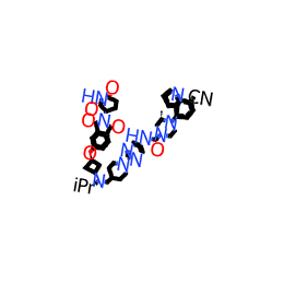 CC(C)N(CC1CCN(c2ncc(NC(=O)N3CCN(c4ccc(C#N)c5ncccc45)[C@@H](C)C3)cn2)CC1)[C@H]1C[C@H](Oc2ccc3c(c2)C(=O)N(C2CCC(=O)NC2=O)C3=O)C1